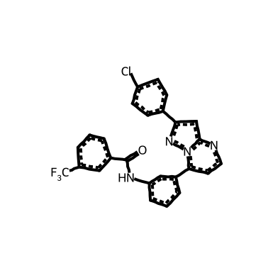 O=C(Nc1cccc(-c2ccnc3cc(-c4ccc(Cl)cc4)nn23)c1)c1cccc(C(F)(F)F)c1